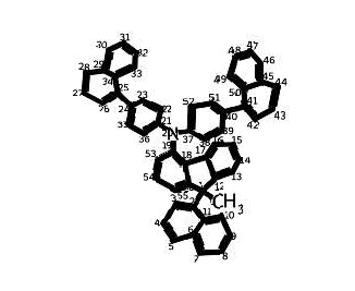 CC1(c2cccc3ccccc23)c2ccccc2-c2c(N(c3ccc(-c4cccc5ccccc45)cc3)c3ccc(-c4cccc5ccccc45)cc3)cccc21